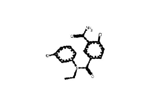 CCN(C(=O)c1ccc(Cl)c(C(N)=O)c1)c1cccc(Cl)c1